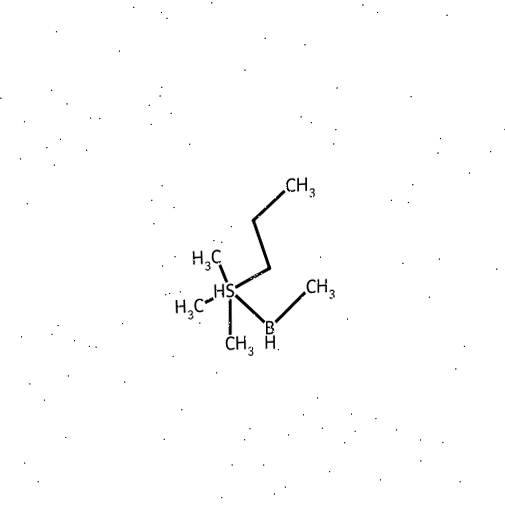 CB[SH](C)(C)(C)CCC